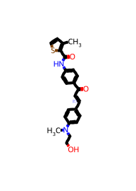 Cc1ccsc1C(=O)Nc1ccc(C(=O)/C=C/c2ccc(N(C)CCO)cc2)cc1